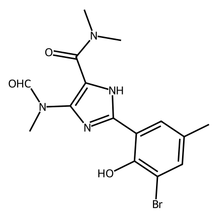 Cc1cc(Br)c(O)c(-c2nc(N(C)C=O)c(C(=O)N(C)C)[nH]2)c1